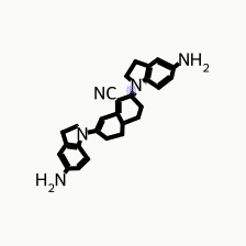 N#CC1=C2C=C(N3CCc4cc(N)ccc43)CCC2CC/C1=[N+]1/CCc2cc(N)ccc21